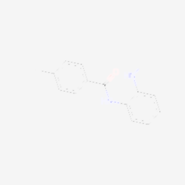 O=Cc1ccc(C(=O)Nc2ccccc2NC(=O)O)cc1